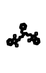 O=C1c2ccccc2C(=O)N1CCCN(CCCN1C(=O)c2ccccc2C1=O)Cc1ccccc1